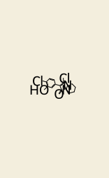 O=c1c(-c2ccc(Cl)c(O)c2)c(Cl)n2n1CCCC2